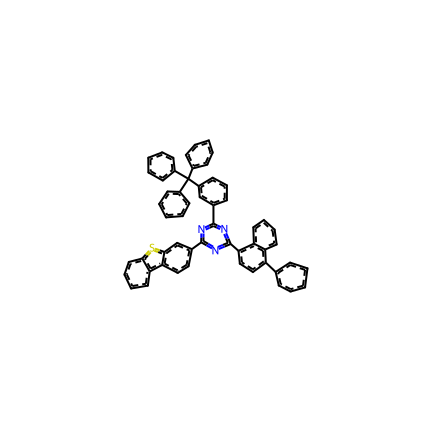 c1ccc(-c2ccc(-c3nc(-c4cccc(C(c5ccccc5)(c5ccccc5)c5ccccc5)c4)nc(-c4ccc5c(c4)sc4ccccc45)n3)c3ccccc23)cc1